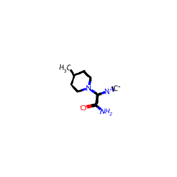 [C-]#[N+]C(C(N)=O)N1CCC(C)CC1